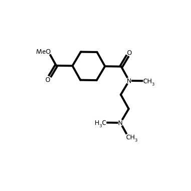 COC(=O)C1CCC(C(=O)N(C)CCN(C)C)CC1